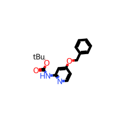 CC(C)(C)OC(=O)Nc1cc(OCc2ccccc2)ccn1